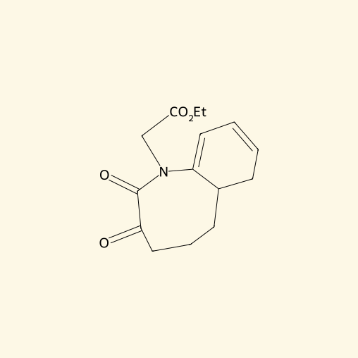 CCOC(=O)CN1C(=O)C(=O)CCCC2CC=CC=C21